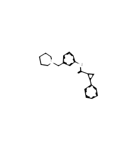 O=C(Nc1cccc(CN2CCCCC2)c1)C1CC1c1ccccc1